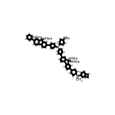 CCCCCCC1(CCCCCC)c2cc(-c3ccccc3)ccc2-c2ccc(-c3ccc(N(c4ccc(-c5ccc6c(c5)C(CCCCCC)(CCCCCC)c5cc(-c7ccc(N(C)c8ccc9c(c8)CC9)cc7)ccc5-6)cc4)c4ccc(C(C)CC)cc4)cc3)cc21